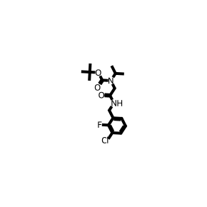 CC(C)N(CC(=O)NCc1cccc(Cl)c1F)C(=O)OC(C)(C)C